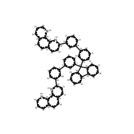 c1cc(-c2cccc(C3(c4cccc(-c5cccc(-c6ccc7ccc8cccnc8c7n6)c5)c4)c4ccccc4-c4ccccc43)c2)cc(-c2ccc3ccc4cccnc4c3n2)c1